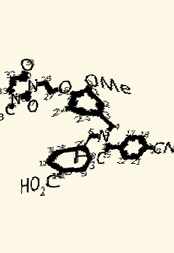 COc1cc(CN(C[C@H]2CC[C@H](C(=O)O)CC2)C(C)c2ccc(C#N)cc2)ccc1OCCn1c(=O)ccn(C)c1=O